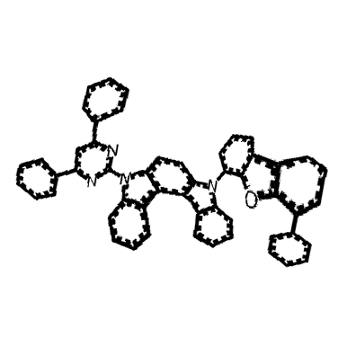 c1ccc(-c2cc(-c3ccccc3)nc(-n3c4ccccc4c4c5c6ccccc6n(-c6cccc7c6oc6c(-c8ccccc8)cccc67)c5ccc43)n2)cc1